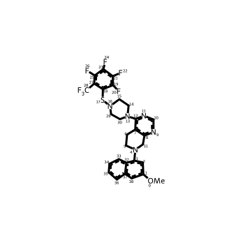 COc1cc(N2CCc3c(ncnc3N3CCN(Sc4c(F)c(F)c(F)c(F)c4C(F)(F)F)CC3)C2)c2ccccc2c1